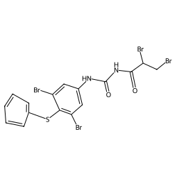 O=C(NC(=O)C(Br)CBr)Nc1cc(Br)c(Sc2ccccc2)c(Br)c1